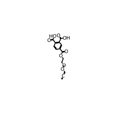 C=C=COOCCOC(=O)c1ccc(C(=O)O)c(C(=O)O)c1